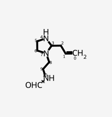 C=CCC1NCCN1CCNC=O